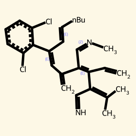 C=C/C(C(C=N)=C(C)C)=C(\C=N/C)C(=C)/C=C(\C=C\CCCC)c1c(Cl)cccc1Cl